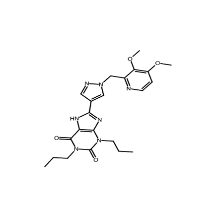 CCCn1c(=O)c2[nH]c(-c3cnn(Cc4nccc(OC)c4OC)c3)nc2n(CCC)c1=O